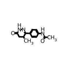 CC(=O)Nc1ccc(C2=NNC(=O)CC2C)cc1